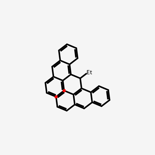 CCC(c1c2ccccc2cc2ccccc12)c1c2ccccc2cc2ccccc12